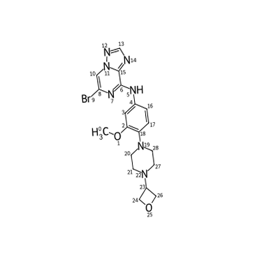 COc1cc(Nc2nc(Br)cn3ncnc23)ccc1N1CCN(C2COC2)CC1